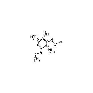 CCCc1cc(C)c(O)c(OCI)c1N